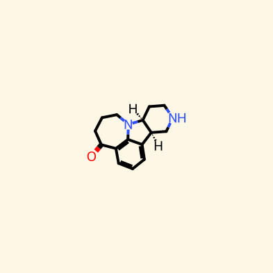 O=C1CCCN2c3c1cccc3[C@@H]1CNCC[C@@H]12